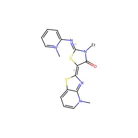 CCN1C(=O)/C(=c2\nc3c(s2)=CC=CN3C)S/C1=N\c1cccc[n+]1C